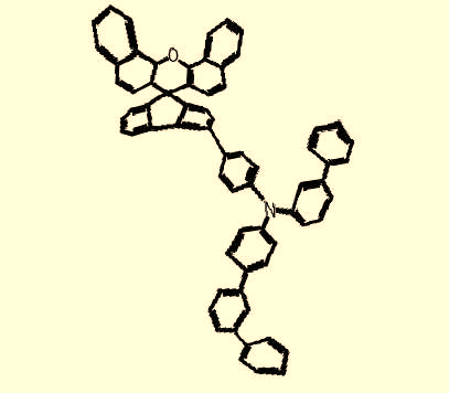 C1=CC2C(Oc3c(ccc4ccccc34)C23c2ccccc2-c2cc(-c4ccc(N(c5ccc(-c6cccc(-c7ccccc7)c6)cc5)c5cccc(-c6ccccc6)c5)cc4)ccc23)c2ccccc21